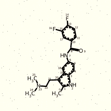 Cc1[nH]c2ccc(NC(=O)c3ccc(F)c(F)c3)cc2c1CCN(C)C